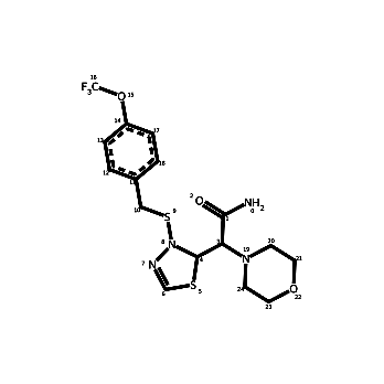 NC(=O)C(C1SC=NN1SCc1ccc(OC(F)(F)F)cc1)N1CCOCC1